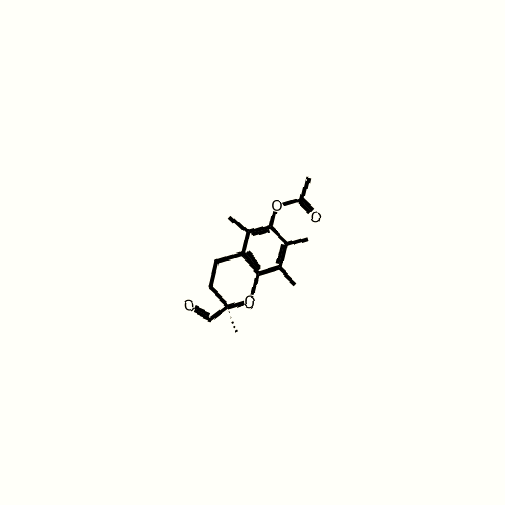 CC(=O)Oc1c(C)c(C)c2c(c1C)CC[C@](C)(C=O)O2